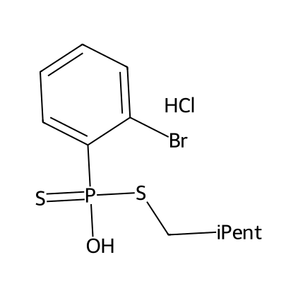 CCCC(C)CSP(O)(=S)c1ccccc1Br.Cl